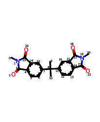 CN1C(=O)c2ccc(C(C)(C)c3ccc4c(c3)C(=O)N(C)C4=O)cc2C1=O